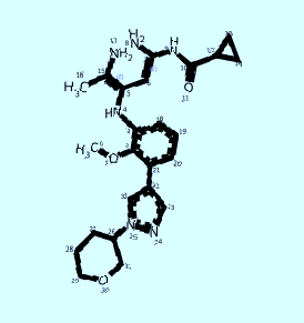 COc1c(NC(/C=C(\N)NC(=O)C2CC2)=C(\C)N)cccc1-c1cnn(C2CCCOC2)c1